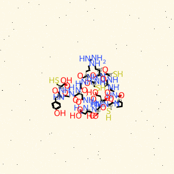 CC[C@H](C)[C@H](NC(=O)[C@H](CS)NC(=O)[C@H](C)NC(=O)CNC(=O)[C@@H]1CCCN1C(=O)[C@H](CS)NC(=O)[C@H](CC(=O)O)NC(=O)[C@H](CO)NC(=O)[C@@H](N)CC(=O)O)C(=O)N[C@@H](CS)C(=O)N[C@@H](CCCNC(=N)N)C(=O)NCC(=O)N[C@@H](CC(N)=O)C(=O)NCC(=O)N[C@@H](Cc1ccc(O)cc1)C(=O)N[C@@H](CS)C(=O)O